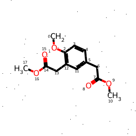 [CH2]Oc1ccc(CC(=O)OC)cc1CC(=O)OC